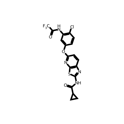 O=C(Nc1nc2ccc(Oc3ccc(Cl)c(NC(=O)C(F)(F)F)c3)nc2s1)C1CC1